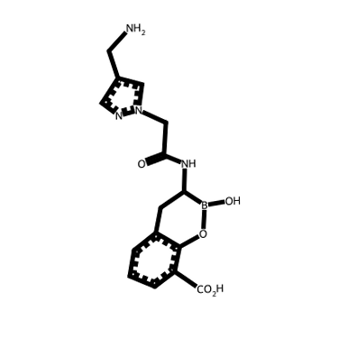 NCc1cnn(CC(=O)NC2Cc3cccc(C(=O)O)c3OB2O)c1